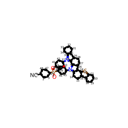 N#Cc1ccc(S(=O)(=O)c2ccc(-n3c4ccc5c6ccccc6sc5c4c4ccc5c6ccccc6n(-c6ccccc6)c5c43)cc2)cc1